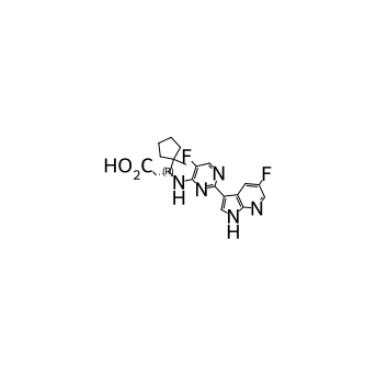 CC1([C@@H](CC(=O)O)Nc2nc(-c3c[nH]c4ncc(F)cc34)ncc2F)CCCC1